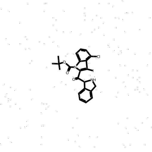 CC(C)(C)OC(=O)n1c(C(=O)C2NCc3ccccc32)c(I)c2c(Cl)cccc21